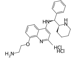 Cc1cc(N[C@@H](c2ccccc2)[C@@H]2CCCCN2)c2cccc(OCCN)c2n1.Cl.Cl